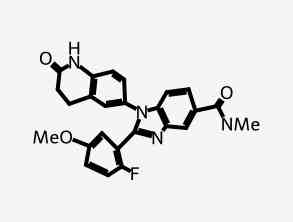 CNC(=O)c1ccc2c(c1)nc(-c1cc(OC)ccc1F)n2-c1ccc2c(c1)CCC(=O)N2